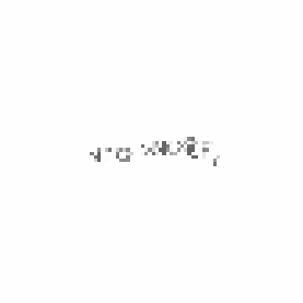 N#Cc1ccc(C2CC3(C2)CN(c2ccc(SC(F)(F)F)cc2)C3)cc1